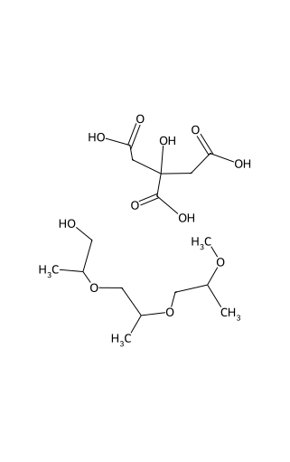 COC(C)COC(C)COC(C)CO.O=C(O)CC(O)(CC(=O)O)C(=O)O